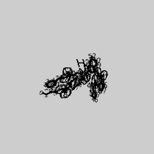 CCCCOC(=O)N1CCN(C(=O)C(CCC(=O)OCC2CCCC2)NC(=O)c2cc(OCC(=O)N3CCCC3C(=O)N(C)C3CCC3)c3ccc(C)cc3n2)CC1